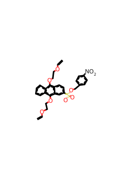 C=COCCOc1c2ccccc2c(OCCOC=C)c2cc(S(=O)(=O)OCc3ccc([N+](=O)[O-])cc3)ccc12